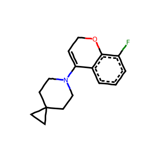 Fc1cccc2c1OCC=C2N1CCC2(CC1)CC2